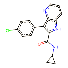 O=C(NC1CC1)c1[nH]c2cccnc2c1-c1ccc(Cl)cc1